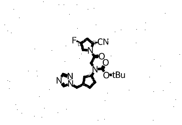 CC(C)(C)OC(=O)N(CC(=O)N1C[C@@H](F)C[C@H]1C#N)C1CCC(Cn2cncn2)C1